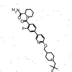 CC(C)(F)CN1CCC(COc2ccc(-c3ccc(C(=O)N4CCCC[C@@H]4C(N)=O)c(F)c3)cn2)CC1